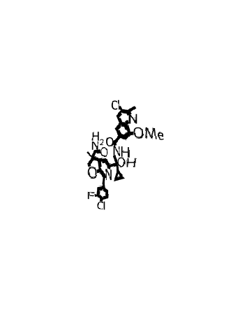 COc1cc(C(=O)NCC(O)(c2cc3c(c(-c4ccc(Cl)c(F)c4)n2)OC[C@]3(C)C(N)=O)C2CC2)cc2cc(Cl)c(C)nc12